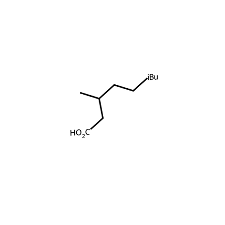 CCC(C)CCC(C)CC(=O)O